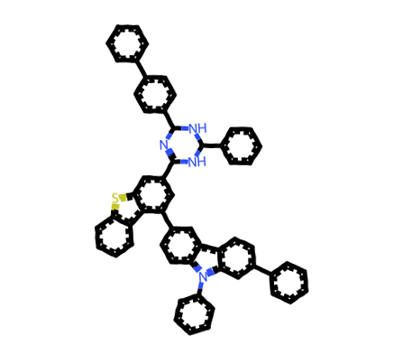 c1ccc(-c2ccc(C3N=C(c4cc(-c5ccc6c(c5)c5ccc(-c7ccccc7)cc5n6-c5ccccc5)c5c(c4)sc4ccccc45)NC(c4ccccc4)N3)cc2)cc1